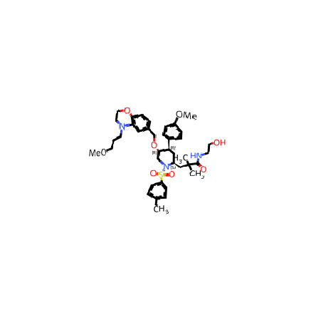 COCCCN1CCOc2ccc(CO[C@H]3CN(S(=O)(=O)c4ccc(C)cc4)[C@H](CC(C)(C)C(=O)NCCO)C[C@@H]3c3ccc(OC)cc3)cc21